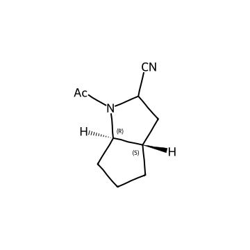 CC(=O)N1C(C#N)C[C@@H]2CCC[C@H]21